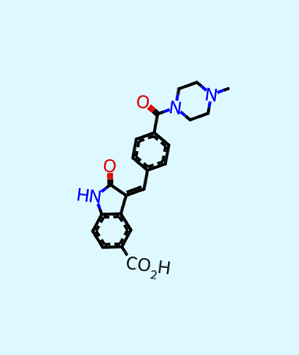 CN1CCN(C(=O)c2ccc(C=C3C(=O)Nc4ccc(C(=O)O)cc43)cc2)CC1